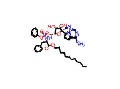 CCCCCCCCCCCCOC(=O)C(Cc1ccccc1)NP(=O)(OC[C@H]1O[C@@](C#N)(c2ccc3c(N)ncnn23)[C@H](O)[C@@H]1O)Oc1ccccc1